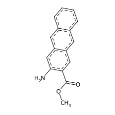 COC(=O)c1cc2cc3ccccc3cc2cc1N